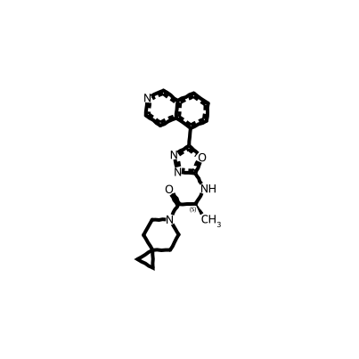 C[C@H](Nc1nnc(-c2cccc3cnccc23)o1)C(=O)N1CCC2(CC1)CC2